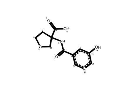 O=C(NC1(C(=O)O)CCOC1)c1cncc(O)c1